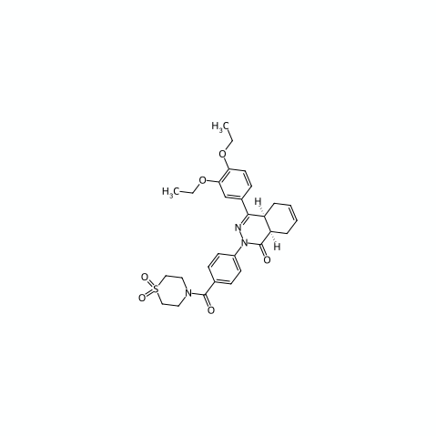 CCOc1ccc(C2=NN(c3ccc(C(=O)N4CCS(=O)(=O)CC4)cc3)C(=O)[C@@H]3CC=CC[C@H]23)cc1OCC